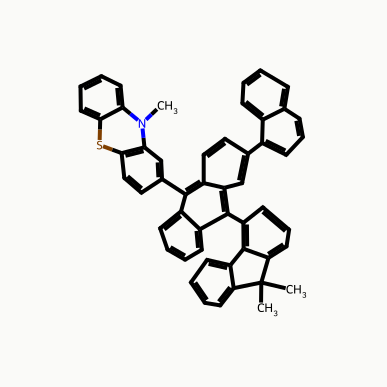 CN1c2ccccc2Sc2ccc(-c3c4ccccc4c(-c4cccc5c4-c4ccccc4C5(C)C)c4cc(-c5cccc6ccccc56)ccc34)cc21